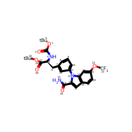 CC(C)(C)OC(=O)N[C@@H](Cc1cccc(-n2c(C(N)=O)cc3ccc(OC(F)(F)F)cc32)c1)C(=O)OC(C)(C)C